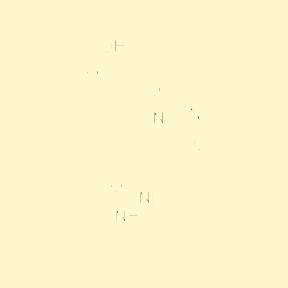 Cc1ccccc1NC(=O)Nc1ccc(CC(=O)N2CC=CCC2c2ncc(CCC(=O)O)o2)cc1